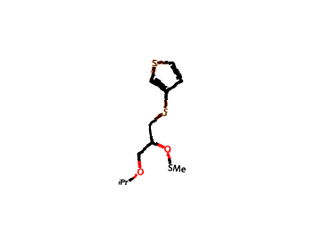 CSOC(COC(C)C)CSc1ccsc1